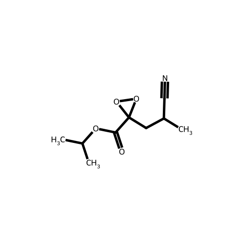 CC(C#N)CC1(C(=O)OC(C)C)OO1